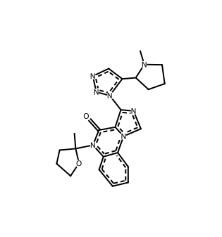 CN1CCCC1c1cnnn1-c1ncn2c1c(=O)n(C1(C)CCCO1)c1ccccc12